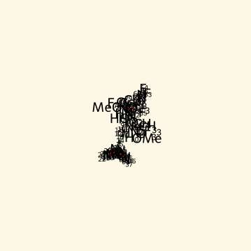 COC(=O)N[C@H](C(=O)N[C@@H](Cc1ccc(C#Cc2nc(N3CC4CCC(C3)N4C3COC3)nc(N3CC4CCC(C3)N4C3COC3)n2)cc1)[C@@H](O)CN(Cc1c(F)cc(-c2ccn(C(F)F)n2)cc1F)NC(=O)[C@@H](NC(=O)OC)C(C)(C)C(F)(F)F)C(C)(C)C(F)(F)F